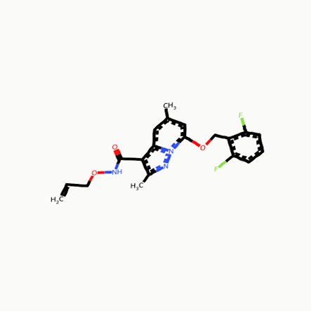 C=CCONC(=O)c1c(C)nn2c(OCc3c(F)cccc3F)cc(C)cc12